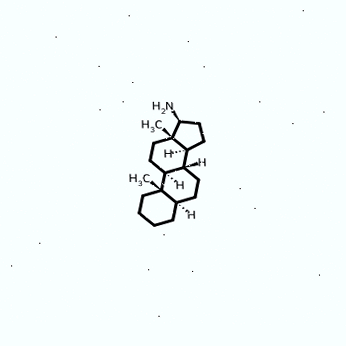 C[C@]12CCCC[C@@H]1CC[C@@H]1[C@@H]2CC[C@]2(C)[C@@H](N)CC[C@@H]12